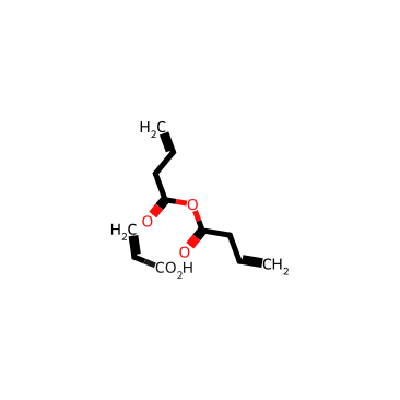 C=CC(=O)O.C=CCC(=O)OC(=O)CC=C